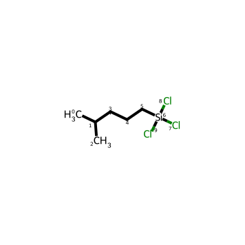 CC(C)[CH]CC[Si](Cl)(Cl)Cl